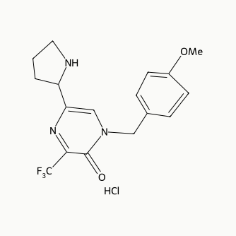 COc1ccc(Cn2cc(C3CCCN3)nc(C(F)(F)F)c2=O)cc1.Cl